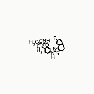 CC(C)(C)N(Cc1ccc(Nc2nc3c(s2)CCCc2ccc(F)cc2-3)cc1)C(=O)O